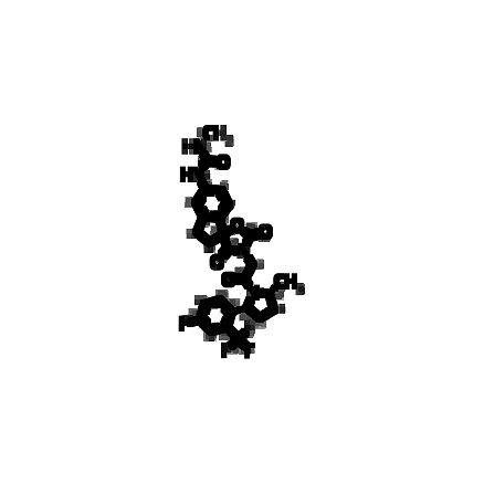 CNC(=O)Nc1ccc2c(c1)CCC21OC(=O)N(CC(=O)N2[C@H](C)CC[C@H]2c2ccc(F)cc2C(F)(F)F)C1=O